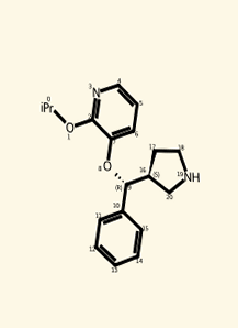 CC(C)Oc1ncccc1O[C@@H](c1ccccc1)[C@H]1CCNC1